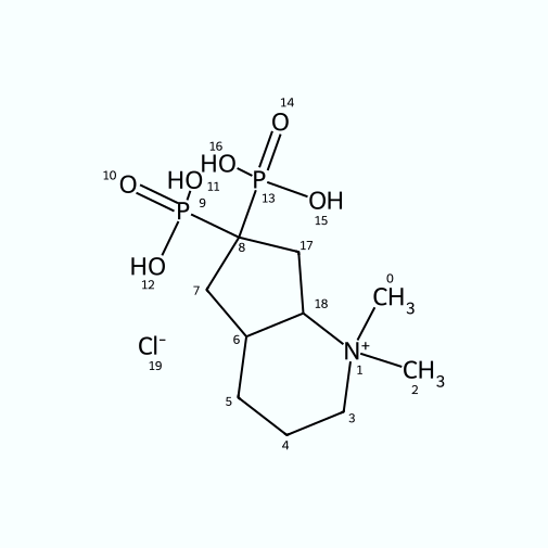 C[N+]1(C)CCCC2CC(P(=O)(O)O)(P(=O)(O)O)CC21.[Cl-]